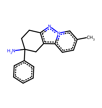 Cc1ccc2c3c(nn2c1)CCC(N)(c1ccccc1)C3